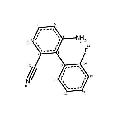 N#Cc1nccc(N)c1-c1ccccc1F